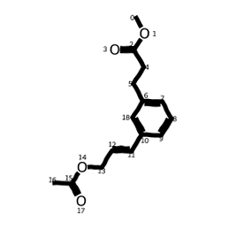 COC(=O)CCc1cccc(C=CCOC(C)=O)c1